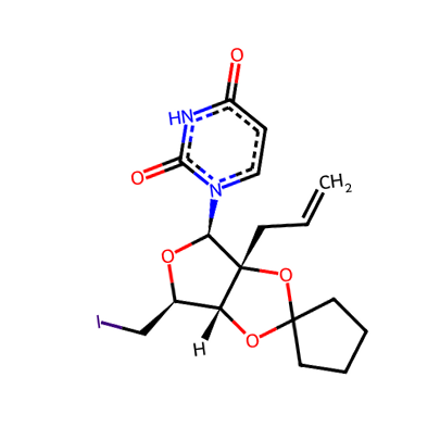 C=CC[C@@]12OC3(CCCC3)O[C@@H]1[C@@H](CI)O[C@H]2n1ccc(=O)[nH]c1=O